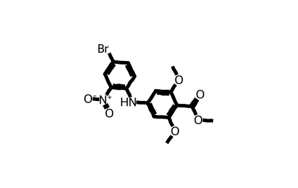 COC(=O)c1c(OC)cc(Nc2ccc(Br)cc2[N+](=O)[O-])cc1OC